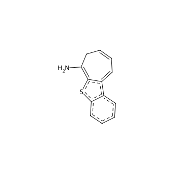 NC1=c2sc3ccccc3c2=CC=CC1